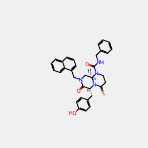 O=C1[C@@H](Cc2ccc(O)cc2)N2C(=S)CCN(C(=O)NCc3ccccc3)[C@@H]2CN1Cc1cccc2ccccc12